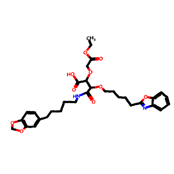 CCOC(=O)COC(C(=O)O)C(OCCCCCc1nc2ccccc2o1)C(=O)NCCCCCc1ccc2c(c1)OCO2